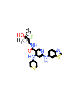 CC(C)(O)[C@H](F)CNC(=O)c1cnc(Nc2ccc3ncsc3c2)cc1NC1CCSCC1